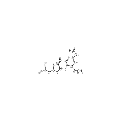 COc1ccc(CN2C[C@@H](CC(F)F)CC2=O)c(OC)c1